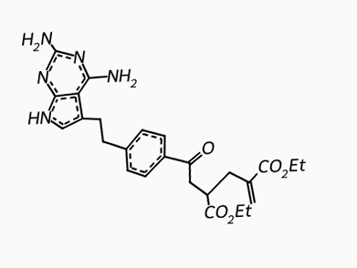 C=C(CC(CC(=O)c1ccc(CCc2c[nH]c3nc(N)nc(N)c23)cc1)C(=O)OCC)C(=O)OCC